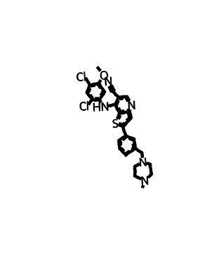 COc1cc(Nc2c(C#N)cnc3cc(-c4cccc(CN5CCN(C)CC5)c4)sc23)c(Cl)cc1Cl